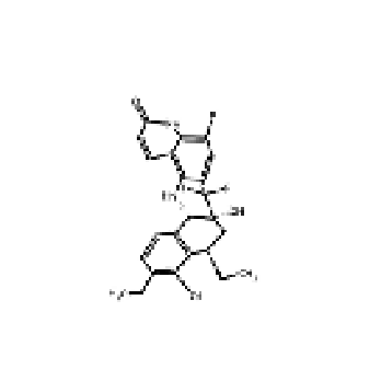 CCc1ccc2c(c1O)[C@H](CC)C[C@](O)(C(F)(F)F)[C@H]2Nc1ccc(F)c2[nH]c(=O)ccc12